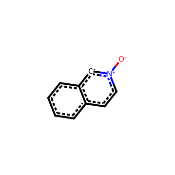 [O-][n+]1[c-]c2ccccc2cc1